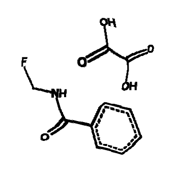 O=C(NCF)c1ccccc1.O=C(O)C(=O)O